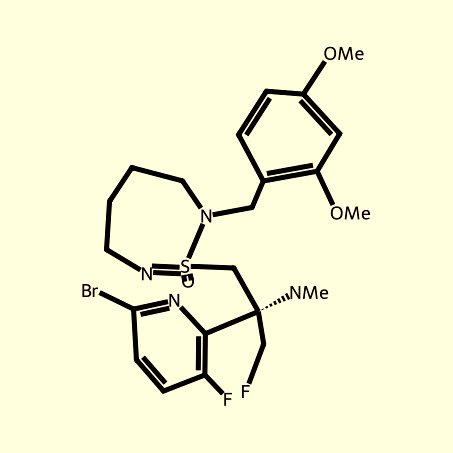 CN[C@@](CF)(CS1(=O)=NCCCCN1Cc1ccc(OC)cc1OC)c1nc(Br)ccc1F